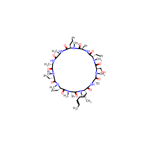 C/C=C/C[C@@H](C)C[C@H]1C(=O)N[C@@H](CC)C(=O)N(C)[C@H](CO)C(=O)N(C)[C@@H](CC(C)C)C(=O)N[C@H](C(C)C)C(=O)N(C)[C@H](CCC(C)C)C(=O)N[C@H](C)C(=O)N[C@@H](C)C(=O)N(C)[C@@H](CC(C)C)C(=O)N(C)[C@@H](CC(C)C)C(=O)N(C)[C@@H](C(C)C)C(=O)N1C